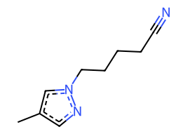 Cc1cnn(CCCCC#N)c1